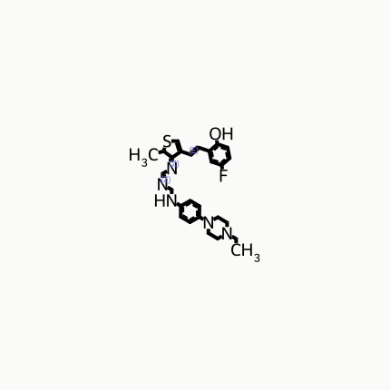 CCN1CCN(c2ccc(NC/N=C\N=C3\C(/C=C/c4cc(F)ccc4O)=CSC3C)cc2)CC1